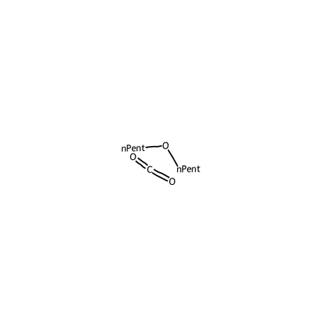 CCCCCOCCCCC.O=C=O